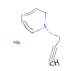 Br.C#CCN1C=CC=CC1